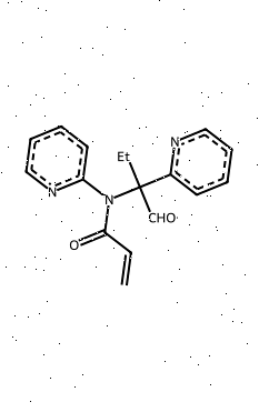 C=CC(=O)N(c1ccccn1)C([C]=O)(CC)c1ccccn1